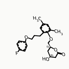 Cc1cc(C)c(OC[C@@H]2C[C@@H](O)CC(=O)O2)c(CCCOc2ccc(F)cc2)c1